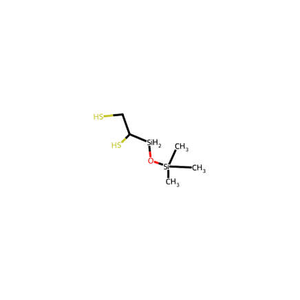 C[Si](C)(C)O[SiH2]C(S)CS